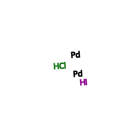 Cl.I.[Pd].[Pd]